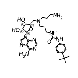 CC(C)(C)c1ccc(NC(=O)NCCCN(CCCN)C[C@H]2O[C@@H](n3cnc4c(N)ncnc43)[C@H](O)[C@H]2O)cc1